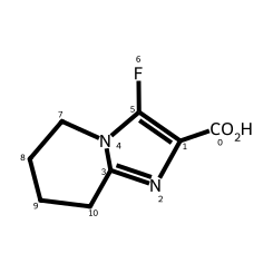 O=C(O)c1nc2n(c1F)CCCC2